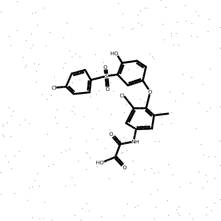 Cc1cc(NC(=O)C(=O)O)cc(Cl)c1Oc1ccc(O)c(S(=O)(=O)c2ccc(Cl)cc2)c1